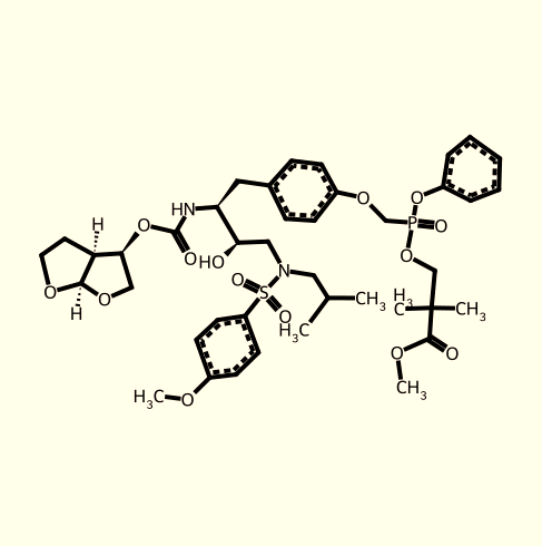 COC(=O)C(C)(C)COP(=O)(COc1ccc(C[C@H](NC(=O)O[C@H]2CO[C@H]3OCC[C@H]32)[C@H](O)CN(CC(C)C)S(=O)(=O)c2ccc(OC)cc2)cc1)Oc1ccccc1